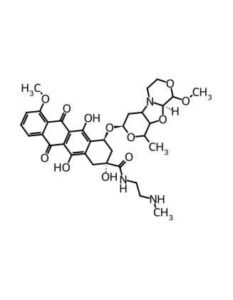 CNCCNC(=O)[C@@]1(O)Cc2c(O)c3c(c(O)c2[C@@H](O[C@H]2CC4C(O[C@@H]5C(OC)OCCN45)C(C)O2)C1)C(=O)c1c(OC)cccc1C3=O